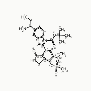 CCC(N)c1ccc2c(c1)cc(-c1cc(OC)c(OS(C)(=O)=O)c3c1C(=O)NC3)n2C(=O)OC(C)(C)C